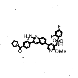 COc1ncc(-c2ccc3nc(N)c(-c4ccc(C(=O)N5CCCC5)cc4)cc3c2)cc1NS(=O)(=O)c1ccc(F)cc1F